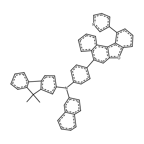 CC1(C)c2ccccc2-c2ccc(N(c3ccc(-c4cc5oc6cccc(-c7cccnc7)c6c5c5ccccc45)cc3)c3ccc4ccccc4c3)cc21